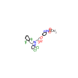 CS(=O)(=O)Nc1ccc(OC[C@@H](O)CNCC(Cc2c(F)cccc2F)c2ccc(Cl)c(Cl)c2)cc1